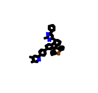 Cc1nc(-c2ccccc2)cc(-c2cccc3c2-c2ccc(-c4ccc(-c5cc(C)c(C)cn5)cc4)cc2C32c3ccccc3Sc3ccccc32)n1